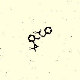 O=C(O)N(Cc1ccccc1)Cc1ccccc1C1CC1(F)Cl